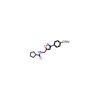 COc1ccc(-c2cc(CNC(=O)C3CCCC3)on2)cc1